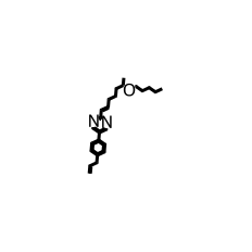 C=CCc1ccc(-c2cnc(C=CCCCC(C)OCCCCC)nc2)cc1